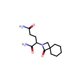 NC(=O)CCC(C(N)=O)N1CC2(CCCCC2)C1=O